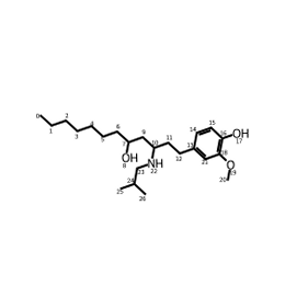 CCCCCCCC(O)CC(CCc1ccc(O)c(OC)c1)NCC(C)C